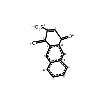 O=C1C=C(S(=O)(=O)O)C(=O)c2cc3ccccc3cc21